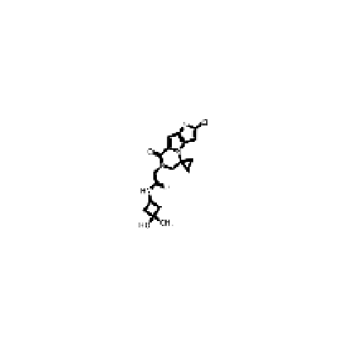 CC1(O)CC(NC(=O)CN2CC3(CC3)n3c(cc4sc(Cl)cc43)C2=O)C1